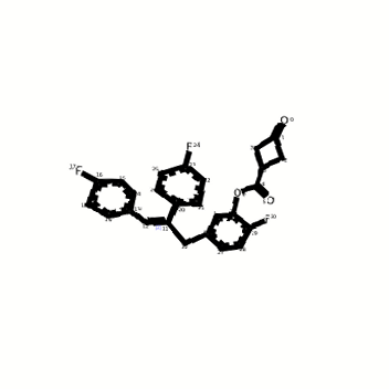 O=C1CC(C(=O)Oc2cc(C/C(=C/c3ccc(F)cc3)c3ccc(F)cc3)ccc2F)C1